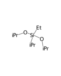 CC[Si](OC(C)C)(OC(C)C)C(C)C